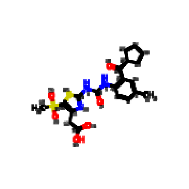 Cc1ccc(NC(=O)Nc2nc(CC(=O)O)c(S(C)(=O)=O)s2)c(C(=O)C2CCCC2)c1